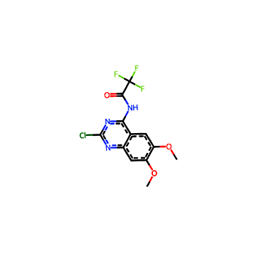 COc1cc2nc(Cl)nc(NC(=O)C(F)(F)F)c2cc1OC